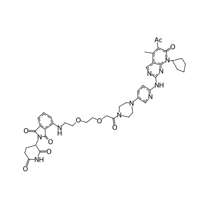 CC(=O)c1c(C)c2cnc(Nc3ccc(N4CCN(C(=O)COCCOCCNc5cccc6c5C(=O)N(C5CCC(=O)NC5=O)C6=O)CC4)cn3)nc2n(C2CCCC2)c1=O